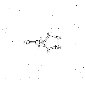 C=O.c1cnsc1